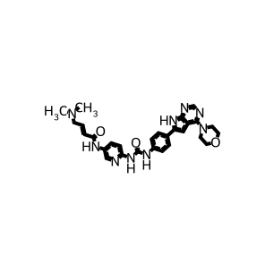 CN(C)C/C=C/C(=O)Nc1ccc(NC(=O)Nc2ccc(-c3cc4c(N5CCOCC5)ncnc4[nH]3)cc2)nc1